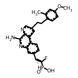 COc1ccc(CCc2cnc3c(N)nc4cc(/C=C(\F)[PH](=O)O)ccc4c3c2)c(C)c1